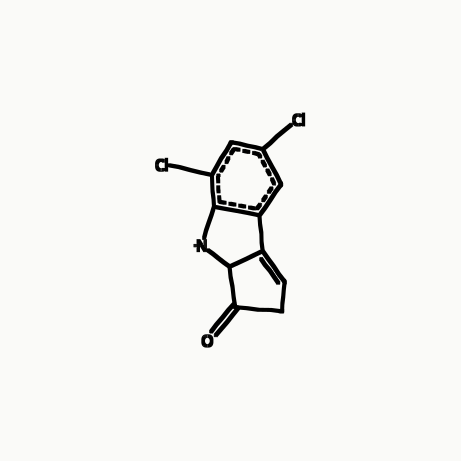 O=C1CC=C2c3cc(Cl)cc(Cl)c3[N]C12